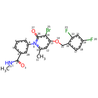 CNC(=O)c1cccc(-n2c(C)cc(OCc3ccc(F)cc3F)c(Br)c2=O)c1